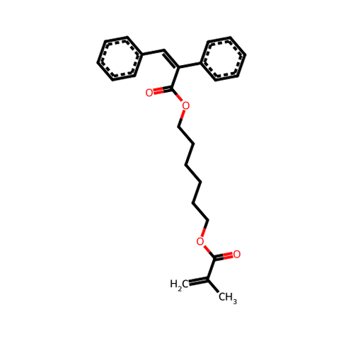 C=C(C)C(=O)OCCCCCCOC(=O)C(=Cc1ccccc1)c1ccccc1